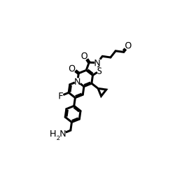 NCc1ccc(-c2cc3c(C4CC4)c4sn(CCCC=O)c(=O)c4c(=O)n3cc2F)cc1